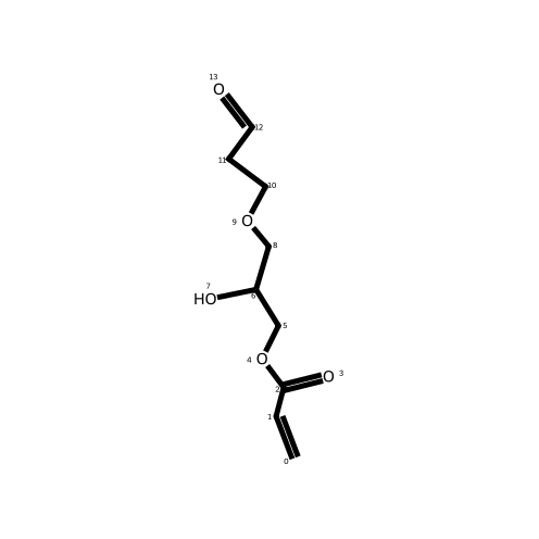 C=CC(=O)OCC(O)COCCC=O